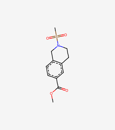 COC(=O)c1ccc2c(c1)CCN(S(C)(=O)=O)C2